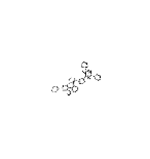 c1ccc(-c2cc3oc4cccc5c6c(-c7cccc(-c8nc(-c9ccccc9)nc(-c9ccccc9)n8)c7)cccc6c(c2)c3c45)cc1